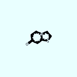 O=c1ccn2ccsc2c1